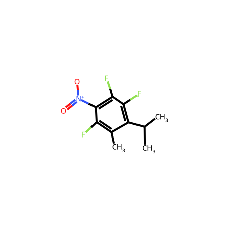 Cc1c(F)c([N+](=O)[O-])c(F)c(F)c1C(C)C